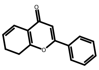 O=c1cc(-c2ccccc2)oc2c1C=CCC2